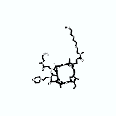 CCC1=C(C)c2cc3[nH]c(cc4nc(c5c6[nH]c(cc1n2)c(C)c6C(=O)N(CCN1CCOCC1)C5=O)[C@@H](CCC(=O)N(C)CCN)[C@@H]4C)c(C)c3/C=C/C(=O)N(C)CCOCCOCCO